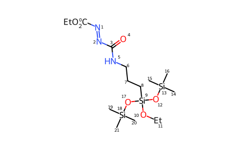 CCOC(=O)/N=N/C(=O)NCCC[Si](OCC)(O[Si](C)(C)C)O[Si](C)(C)C